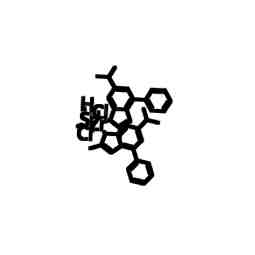 CC1=Cc2c(-c3ccccc3)cc(C(C)C)cc2[CH]1[Zr]([Cl])([Cl])([CH]1C(C)=Cc2c(-c3ccccc3)cc(C(C)C)cc21)[SiH](C)C